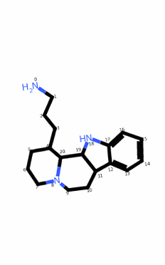 NCCCC1CCCN2CCC3c4ccccc4NC3C12